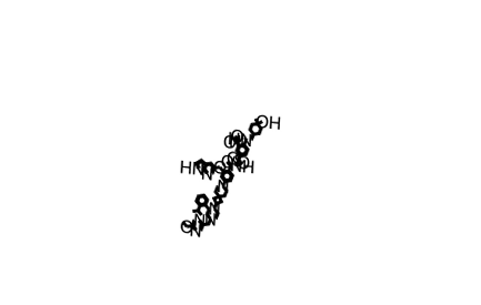 COc1cnc(CN2CCN(C3CC4(CCN(c5ccc(C(=O)NS(=O)(=O)c6ccc(NCC7CCC(C)(O)CC7)c([N+](=O)[O-])c6)c(Oc6cnc7[nH]ccc7c6)c5)CC4)C3)C(c3ccccc3C(C)C)C2)cn1